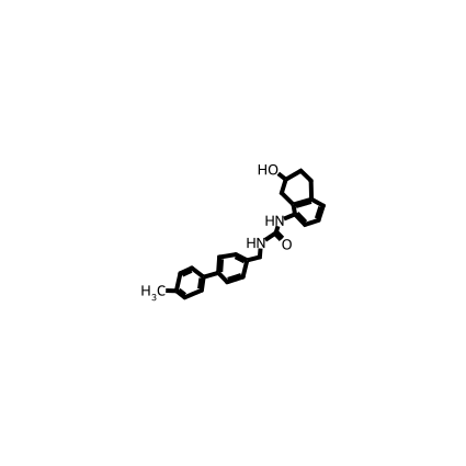 Cc1ccc(-c2ccc(CNC(=O)Nc3cccc4c3CC(O)CC4)cc2)cc1